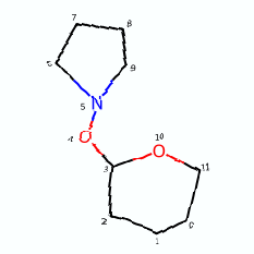 C1CCC(ON2CCCC2)OC1